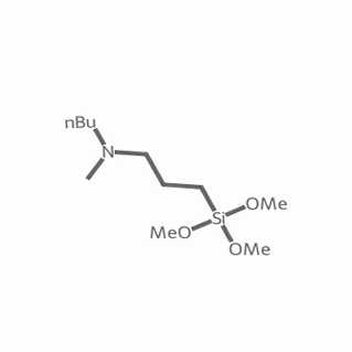 CCCCN(C)CCC[Si](OC)(OC)OC